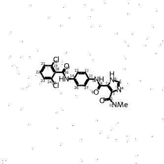 CNC(=O)c1nc[nH]c1C(=O)Nc1ccc(NC(=O)c2c(Cl)cccc2Cl)cc1